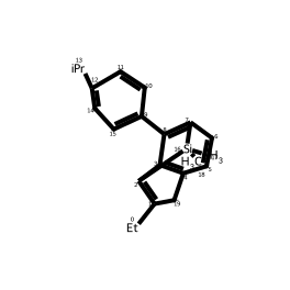 CCC1=C2c3c(ccc(c3-c3ccc(C(C)C)cc3)[Si]2(C)C)[CH]1